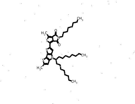 CCCCCCCCC(CCCCCCCC)n1c2cc(C)sc2c2sc(-c3sc(C)c4c3C(=O)N(CCCCCCCC)C4=O)cc21